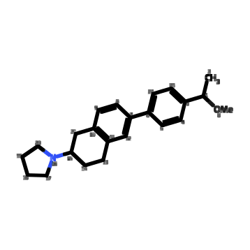 COC(C)c1ccc(-c2ccc3c(c2)CCC(N2CCCC2)C3)cc1